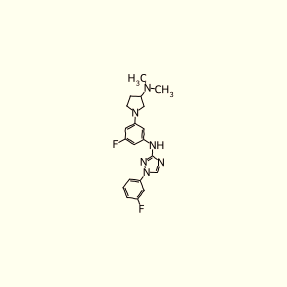 CN(C)C1CCN(c2cc(F)cc(Nc3ncn(-c4cccc(F)c4)n3)c2)C1